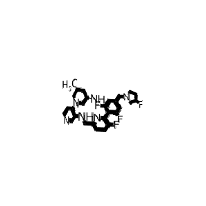 C[C@@H]1C[C@H](N)CN(c2ccncc2NCc2ccc(F)c(-c3c(F)cc(CN4CCC(F)C4)cc3F)n2)C1